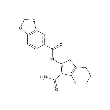 NC(=O)c1c(NC(=O)c2ccc3c(c2)OCO3)sc2c1CCCC2